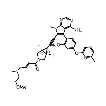 COCCN(C)C/C=C/C(=O)N1C[C@@H]2C(C#Cc3c(-c4ccc(Oc5cccc(C)n5)cc4OC)c4c(N)ncnc4n3C)[C@@H]2C1